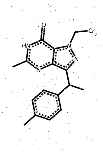 Cc1ccc(C(C)c2nn(CC(F)(F)F)c3c(=O)[nH]c(C)nc23)cc1